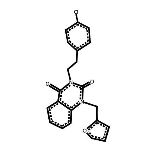 O=c1c2ccccc2n(Cc2ccco2)c(=O)n1CCc1ccc(Cl)cc1